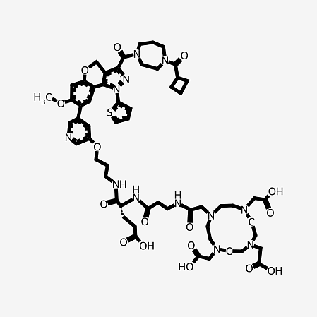 COc1cc2c(cc1-c1cncc(OCCCNC(=O)[C@@H](CCC(=O)O)NC(=O)CCNC(=O)CN3CCN(CC(=O)O)CCN(CC(=O)O)CCN(CC(=O)O)CC3)c1)-c1c(c(C(=O)N3CCCN(C(=O)C4CCC4)CC3)nn1-c1cccs1)CO2